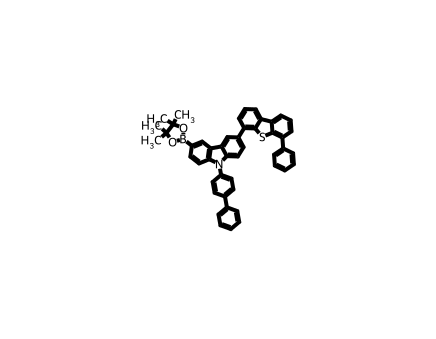 CC1(C)OB(c2ccc3c(c2)c2cc(-c4cccc5c4sc4c(-c6ccccc6)cccc45)ccc2n3-c2ccc(-c3ccccc3)cc2)OC1(C)C